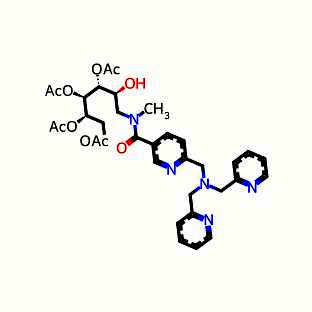 CC(=O)OC[C@@H](OC(C)=O)[C@@H](OC(C)=O)[C@H](OC(C)=O)[C@@H](O)CN(C)C(=O)c1ccc(CN(Cc2ccccn2)Cc2ccccn2)nc1